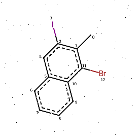 Cc1c(I)cc2ccccc2c1Br